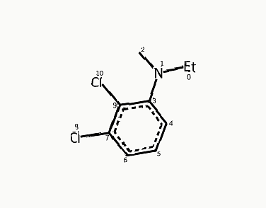 CCN(C)c1cccc(Cl)c1Cl